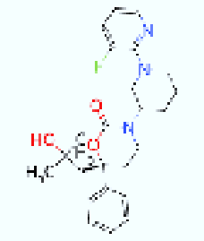 CC(C)(O)C[C@]1(c2ccccc2)CCN([C@H]2CCCN(c3ncccc3F)C2)C(=O)O1